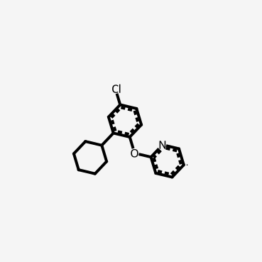 Clc1ccc(Oc2cc[c]cn2)c(C2CCCCC2)c1